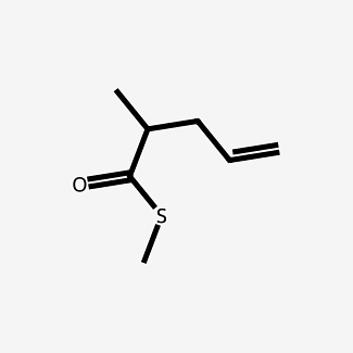 C=CCC(C)C(=O)SC